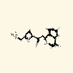 CCc1cccc(C(=O)Cc2ccc(F)c3ccccc23)n1